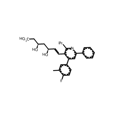 Cc1cc(-c2cc(-c3ccccc3)nc(C(C)C)c2C=C[C@@H](O)C[C@@H](O)CC(=O)O)ccc1F